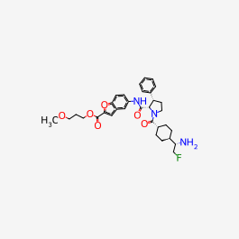 COCCCOC(=O)c1cc2cc(NC(=O)[C@@H]3[C@H](c4ccccc4)CCN3C(=O)[C@H]3CC[C@H]([C@H](N)CF)CC3)ccc2o1